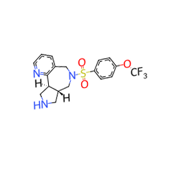 O=S(=O)(c1ccc(OC(F)(F)F)cc1)N1Cc2cccnc2[C@@H]2CNC[C@H]2C1